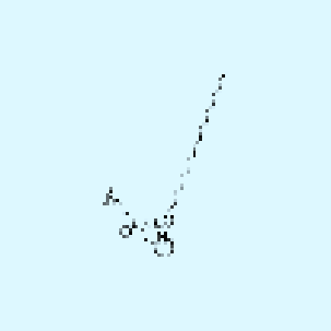 CCCCCCCCCCCCCCCCCCOC(=O)N1CCCCC1CCC(=O)CCCN(C)C